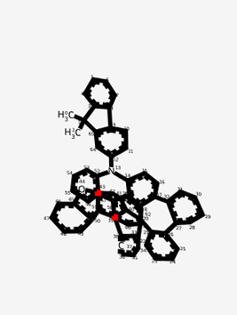 CC1(C)c2ccccc2-c2ccc(N(c3ccc4c(c3)C3(c5ccccc5-c5ccccc5-4)c4ccccc4-c4c3ccc3oc5ccccc5c43)c3ccccc3-c3ccccc3)cc21